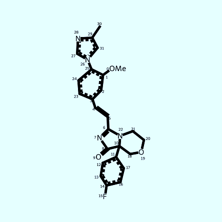 COc1cc(/C=C/C2=NC(=O)C3(c4ccc(F)cc4)COCCN23)ccc1-n1cnc(C)c1